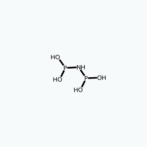 OP(O)NP(O)O